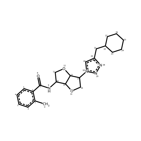 Cc1ccccc1C(=O)NC1COC2C1OCC2n1cc(CC2CCCCC2)nn1